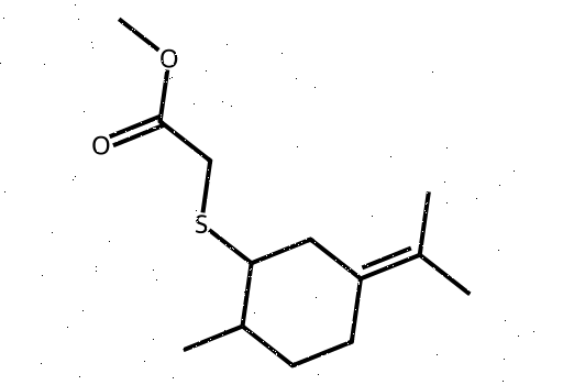 COC(=O)CSC1CC(=C(C)C)CCC1C